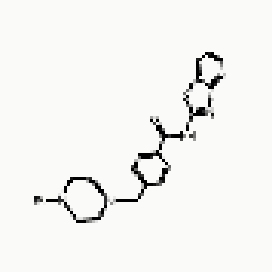 CCN1CCN(Cc2ccc(C(=O)Nc3nc4ccccc4s3)cc2)CC1